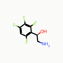 NC[C@H](O)c1c(F)cc(F)c(F)c1F